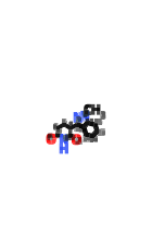 Cn1nc(C2CCC(=O)NC2=O)c2ccccc21